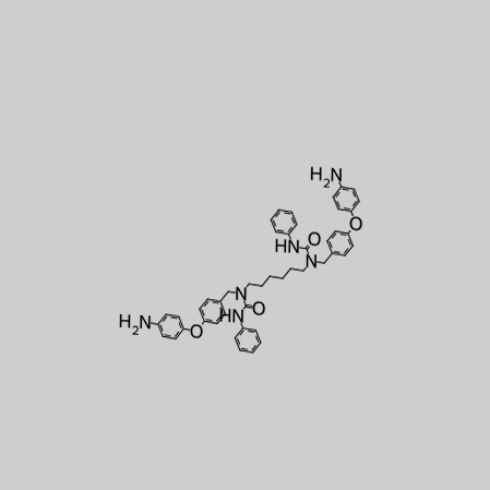 Nc1ccc(Oc2ccc(CN(CCCCCCN(Cc3ccc(Oc4ccc(N)cc4)cc3)C(=O)Nc3ccccc3)C(=O)Nc3ccccc3)cc2)cc1